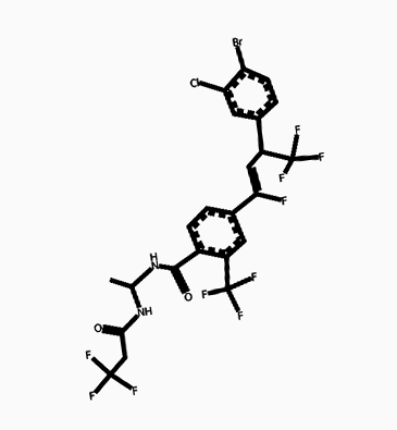 CC(NC(=O)CC(F)(F)F)NC(=O)c1ccc(/C(F)=C/C(c2ccc(Br)c(Cl)c2)C(F)(F)F)cc1C(F)(F)F